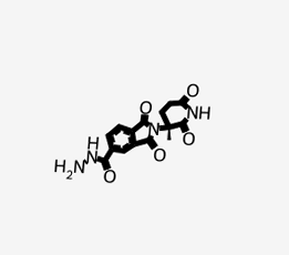 C[C@@]1(N2C(=O)c3ccc(C(=O)NN)cc3C2=O)CCC(=O)NC1=O